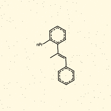 CCCc1ccccc1/C(C)=C/c1ccccc1